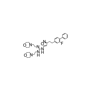 Fc1cc(CCc2cc(NC(=NCCN3CCOCC3)NCCN3CCOCC3)on2)ccc1-c1ccccc1